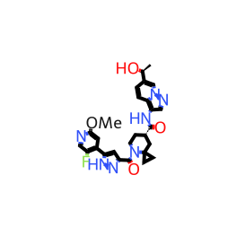 COc1cc(-c2cc(C(=O)N3CC[C@H](C(=O)Nc4cnn5cc([C@H](C)O)ccc45)CC34CC4)n[nH]2)c(F)cn1